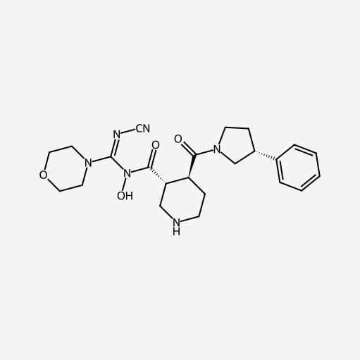 N#C/N=C(/N1CCOCC1)N(O)C(=O)[C@H]1CNCC[C@@H]1C(=O)N1CC[C@H](c2ccccc2)C1